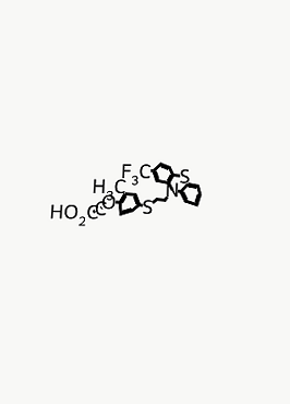 Cc1cc(SCCN2c3ccccc3Sc3ccc(C(F)(F)F)cc32)ccc1OCC(=O)O